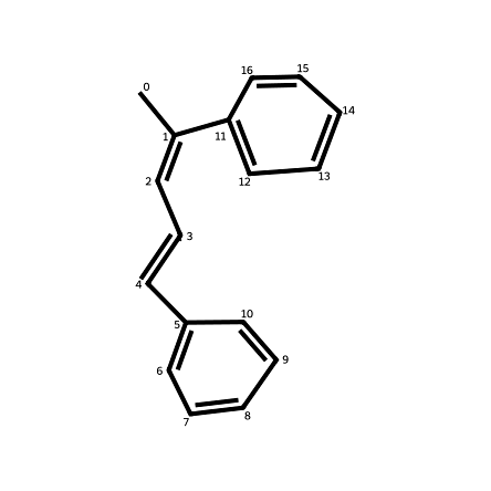 CC(=C[C]=Cc1ccccc1)c1ccccc1